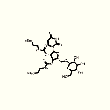 CCCCCCCCCCCCNC(=O)OC1[C@@H](CO[C@@H]2OC(CO)[C@@H](O)C(O)[C@@H]2O)O[C@@H](n2ccc(=O)[nH]c2=O)[C@H]1OC(=O)NCCCCCCCCCCCC